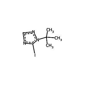 CC(C)(C)n1ncnc1I